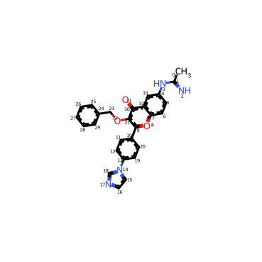 CC(=N)Nc1ccc2oc(-c3ccc(-n4ccnc4)cc3)c(OCc3ccccc3)c(=O)c2c1